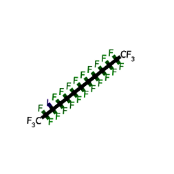 FC(F)(F)C(F)(F)C(F)(F)C(F)(F)C(F)(F)C(F)(F)C(F)(F)C(F)(F)C(F)(F)C(F)(F)C(F)(I)C(F)(F)C(F)(F)F